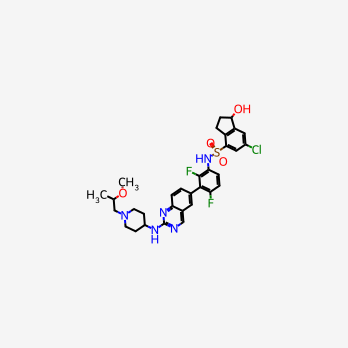 COC(C)CN1CCC(Nc2ncc3cc(-c4c(F)ccc(NS(=O)(=O)c5cc(Cl)cc6c5CCC6O)c4F)ccc3n2)CC1